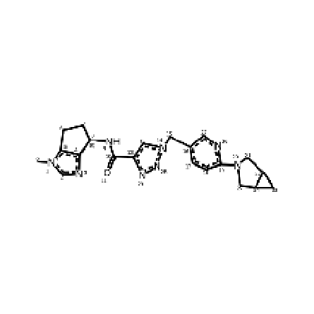 Cn1cnc2c1CC[C@H]2NC(=O)c1cn(Cc2ccc(N3CC4CC4C3)nc2)nn1